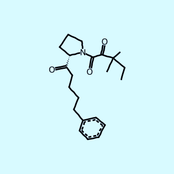 CCC(C)(C)C(=O)C(=O)N1CCC[C@H]1C(=O)CCCCc1ccccc1